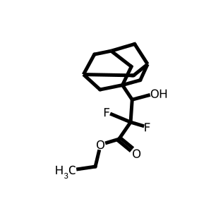 CCOC(=O)C(F)(F)C(O)C12CC3CC(CC(C3)C1)C2